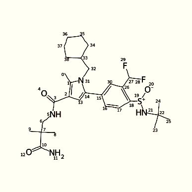 Cc1c(C(=O)NCC(C)(C)C(N)=O)cc(-c2ccc([S+]([O-])NC(C)(C)C)c(C(F)F)c2)n1CC1CCCCC1